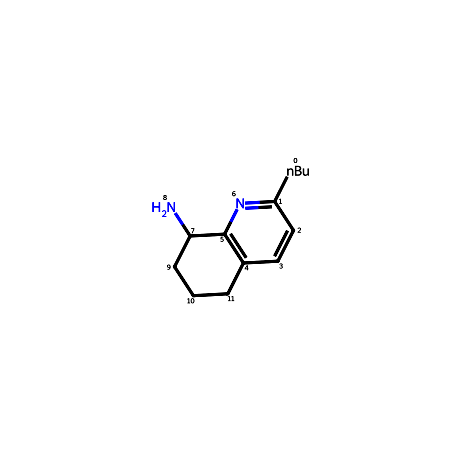 CCCCc1ccc2c(n1)C(N)CCC2